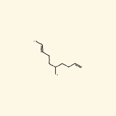 [CH2]C=CCCC([CH2])CCC=C